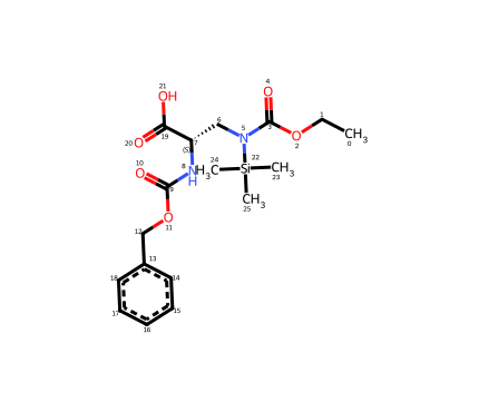 CCOC(=O)N(C[C@H](NC(=O)OCc1ccccc1)C(=O)O)[Si](C)(C)C